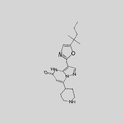 CCCC(C)(C)c1cnc(-c2cnn3c(C4CCNCC4)cc(=O)[nH]c23)o1